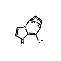 O=[N+]([O-])C1=C2NC=CN2c2ccc1o2